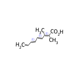 C=C/C=C/C=C/C(C)=C(\C)C(=O)O